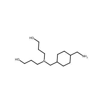 NCC1CCC(CN(CCCO)CCCO)CC1